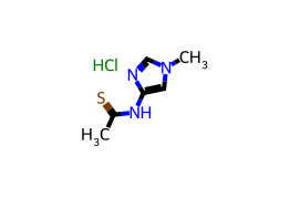 CC(=S)Nc1cn(C)cn1.Cl